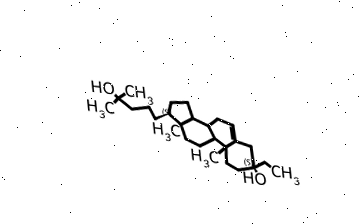 CC[C@]1(O)CCC2(C)C(=CCC3C2CCC2(C)C3CC[C@@H]2CCCC(C)(C)O)C1